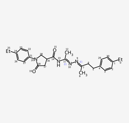 CCc1ccc(CC/C(C)=N/N=C(\C)NC(=O)C2CC(=O)N(c3ccc(CC)cc3)C2)cc1